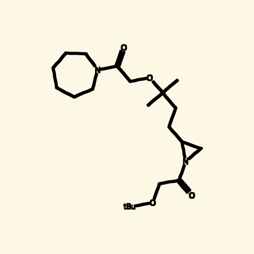 CC(C)(C)OCC(=O)N1CC1CCC(C)(C)OCC(=O)N1CCCCCC1